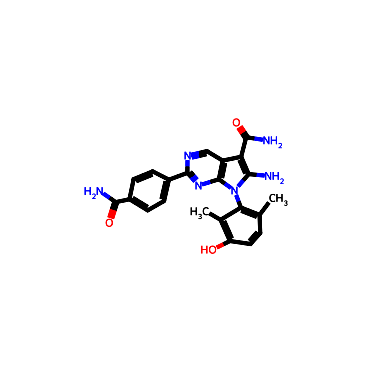 Cc1ccc(O)c(C)c1-n1c(N)c(C(N)=O)c2cnc(-c3ccc(C(N)=O)cc3)nc21